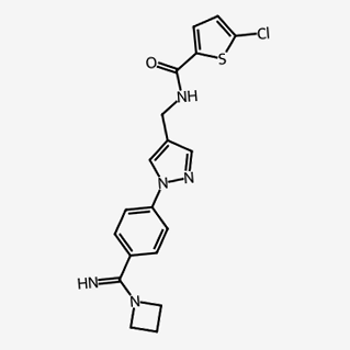 N=C(c1ccc(-n2cc(CNC(=O)c3ccc(Cl)s3)cn2)cc1)N1CCC1